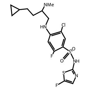 CNC(CCC1CC1)CNc1cc(F)c(S(=O)(=O)Nc2ncc(F)s2)cc1Cl